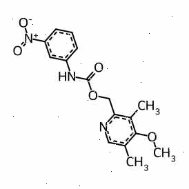 COc1c(C)cnc(COC(=O)Nc2cccc([N+](=O)[O-])c2)c1C